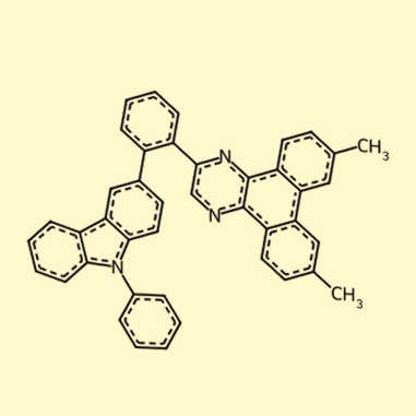 Cc1ccc2c(c1)c1cc(C)ccc1c1nc(-c3ccccc3-c3ccc4c(c3)c3ccccc3n4-c3ccccc3)cnc21